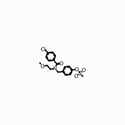 COCCN(Cc1ccc(OS(C)(=O)=O)cc1)C(=O)c1ccc(Cl)cc1